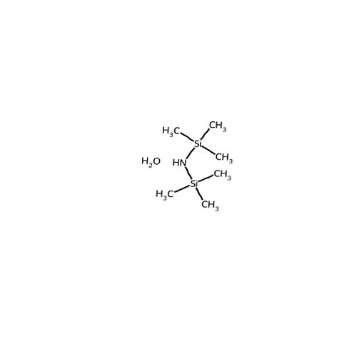 C[Si](C)(C)N[Si](C)(C)C.O